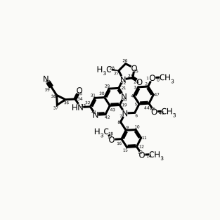 COc1ccc(CN(Cc2ccc(OC)cc2OC)c2nc(N3C(=O)OC[C@@H]3C)cc3cc(NC(=O)C4CC4C#N)ncc23)c(OC)c1